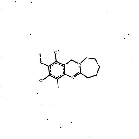 CSc1c(Cl)c(C)c2c(c1Cl)CN1CCCCCC1=N2